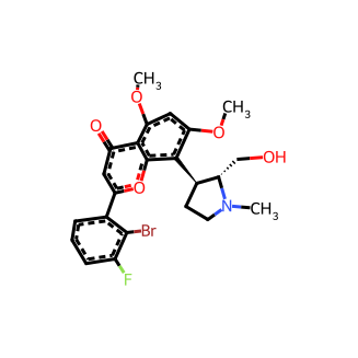 COc1cc(OC)c2c(=O)cc(-c3cccc(F)c3Br)oc2c1[C@@H]1CCN(C)[C@H]1CO